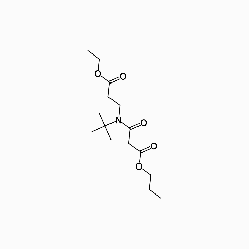 CCCOC(=O)CC(=O)N(CCC(=O)OCC)C(C)(C)C